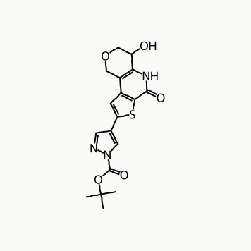 CC(C)(C)OC(=O)n1cc(-c2cc3c4c([nH]c(=O)c3s2)C(O)COC4)cn1